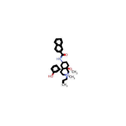 C=CC[N@@+]1(C)CC[C@@]2(c3cccc(O)c3)C[C@@H](NC(=O)c3ccc4ccccc4c3)CCC2(OC)C1